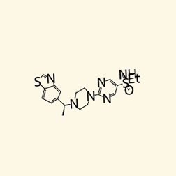 CC[S@](=N)(=O)c1cnc(N2CCN([C@@H](C)c3ccc4scnc4c3)CC2)nc1